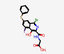 O=C(O)CNC(=O)c1nc(Br)c2cc(Sc3ccccc3)cc(I)c2c1O